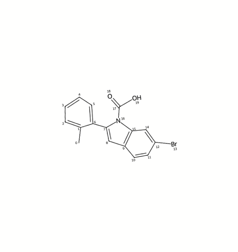 Cc1ccccc1-c1cc2ccc(Br)cc2n1C(=O)O